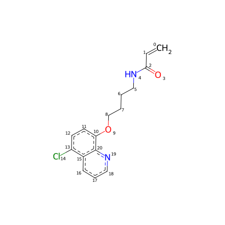 C=CC(=O)NCCCCOc1ccc(Cl)c2cccnc12